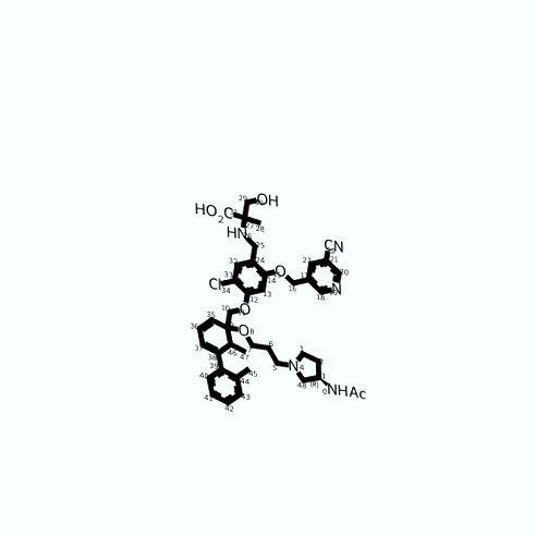 CC(=O)N[C@@H]1CCN(CCCOC2(COc3cc(OCc4cncc(C#N)c4)c(CNC(C)(CO)C(=O)O)cc3Cl)C=CC=C(c3ccccc3C)C2C)C1